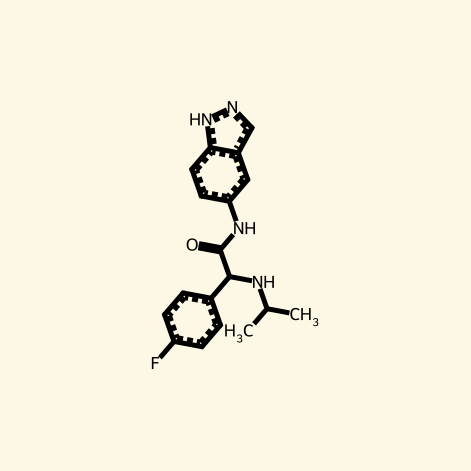 CC(C)NC(C(=O)Nc1ccc2[nH]ncc2c1)c1ccc(F)cc1